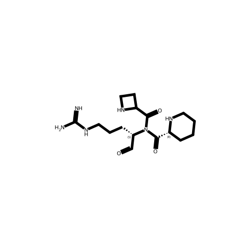 N=C(N)NCCC[C@@H](C=O)N(C(=O)C1CCN1)C(=O)[C@H]1CCCCN1